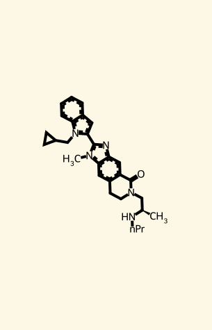 CCCN[C@H](C)CN1CCc2cc3c(cc2C1=O)nc(-c1cc2ccccc2n1CC1CC1)n3C